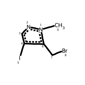 Cn1ncc(I)c1CBr